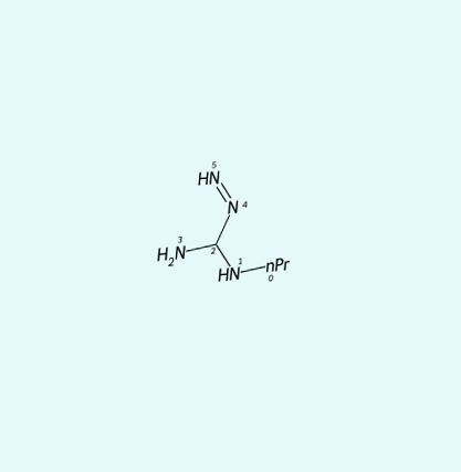 CCCNC(N)N=N